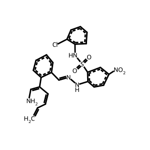 C=C/C=C\C(=C/N)c1ccccc1/C=N/Nc1ccc([N+](=O)[O-])cc1S(=O)(=O)Nc1ccccc1Cl